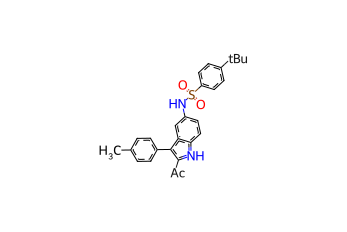 CC(=O)c1[nH]c2ccc(NS(=O)(=O)c3ccc(C(C)(C)C)cc3)cc2c1-c1ccc(C)cc1